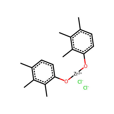 Cc1ccc([O][Zr+2][O]c2ccc(C)c(C)c2C)c(C)c1C.[Cl-].[Cl-]